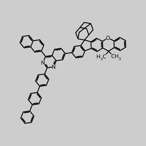 CC1(C)c2ccccc2Oc2cc3c(cc21)-c1ccc(-c2ccc4c(-c5ccc6ccccc6c5)nc(-c5ccc(-c6ccc(-c7ccccc7)cc6)cc5)nc4c2)cc1C31C2CC3CC(C2)CC1C3